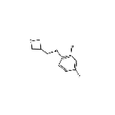 CC(C)c1cc(F)ccc1OCC1COC1